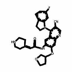 N#Cc1cnc2cc(OC3CCOC3)c(NC(=O)C=C3CCNCC3)cc2c1N1CCc2ccc(F)cc21